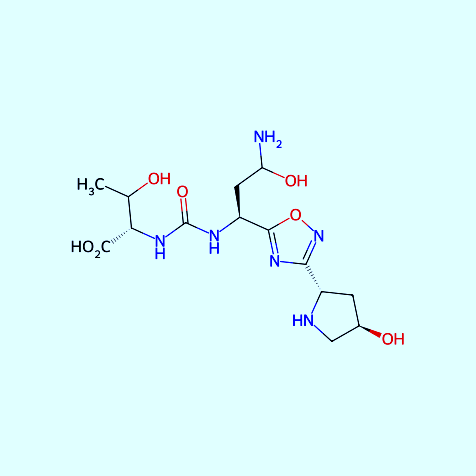 CC(O)[C@H](NC(=O)N[C@@H](CC(N)O)c1nc([C@@H]2C[C@@H](O)CN2)no1)C(=O)O